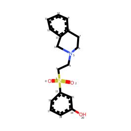 O=S(=O)(CCN1CCc2ccccc2C1)c1cccc(O)c1